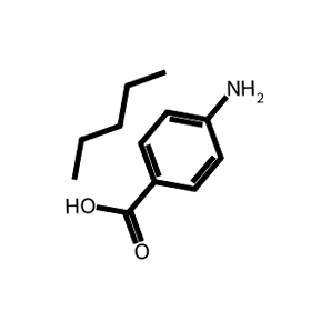 CCCCC.Nc1ccc(C(=O)O)cc1